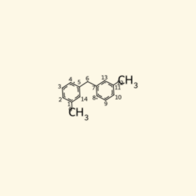 Cc1cc[c]c(Cc2[c]ccc(C)c2)c1